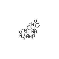 COc1ccccc1-n1ccc2cc(N3CCOc4ncnc(N)c4C3=O)cc(C3(NC=O)CC3)c21